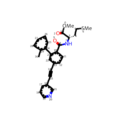 COC(=O)[C@H](CCSC)NC(=O)c1ccc(C#Cc2cccnc2)cc1-c1ccccc1C